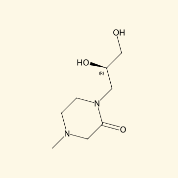 CN1CCN(C[C@@H](O)CO)C(=O)C1